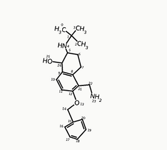 CC(C)(C)NC1CCc2c(ccc(OCc3ccccc3)c2CN)C1O